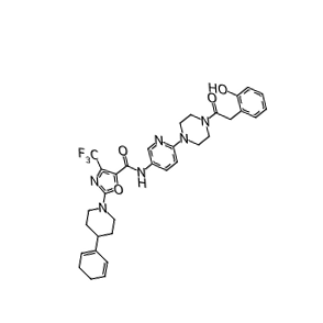 O=C(Nc1ccc(N2CCN(C(=O)Cc3ccccc3O)CC2)nc1)c1oc(N2CCC(C3=CCCC=C3)CC2)nc1C(F)(F)F